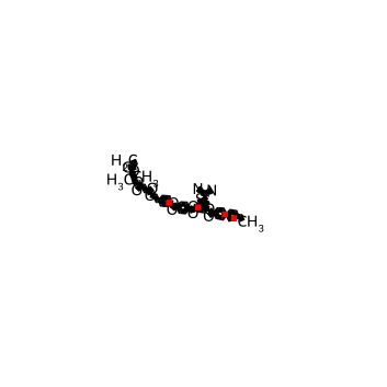 C=CC(=O)OCC(C)(C)COC(=O)CCC(=O)OCCc1ccc(OC(=O)C2CCC(C(=O)Oc3ccc(OC(=O)C4CCC(C5CCC(CC)CC5)CC4)c4c3SC(=C(C#N)C#N)S4)CC2)cc1